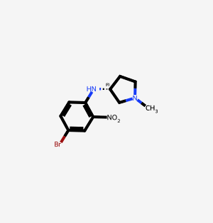 CN1CC[C@@H](Nc2ccc(Br)cc2[N+](=O)[O-])C1